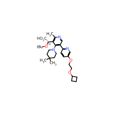 Cc1ncc(-c2ccc(OCCOC3CCC3)cn2)c(N2CCC(C)(C)CC2)c1[C@H](OC(C)(C)C)C(=O)O